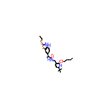 CCCCOc1nc(C(C)(C)C)ccc1CNC(=O)C(C)c1ccc2c(c1)SC(SCC)N2